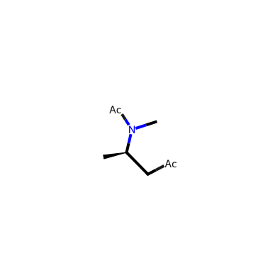 CC(=O)C[C@@H](C)N(C)C(C)=O